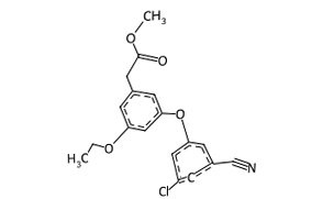 CCOc1cc(CC(=O)OC)cc(Oc2cc(Cl)cc(C#N)c2)c1